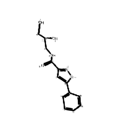 O=C(NC[C@H](O)CO)c1cc(-c2ccccc2)on1